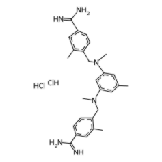 Cc1cc(N(C)Cc2ccc(C(=N)N)cc2C)cc(N(C)Cc2ccc(C(=N)N)cc2C)c1.Cl.Cl